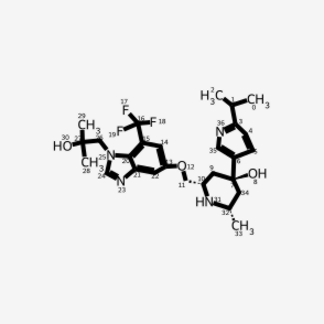 CC(C)c1ccc([C@@]2(O)C[C@@H](COc3cc(C(F)(F)F)c4c(c3)ncn4CC(C)(C)O)N[C@@H](C)C2)cn1